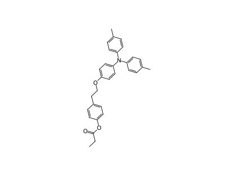 CCC(=O)Oc1ccc(CCOc2ccc(N(c3ccc(C)cc3)c3ccc(C)cc3)cc2)cc1